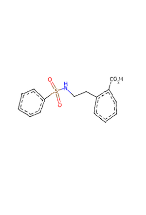 O=C(O)c1ccccc1CCNS(=O)(=O)c1ccccc1